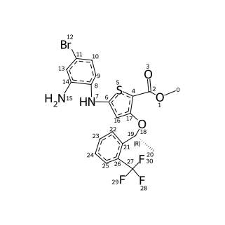 COC(=O)c1sc(Nc2ccc(Br)cc2N)cc1O[C@H](C)c1ccccc1C(F)(F)F